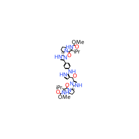 COC(=O)N[C@H](C(=O)N1CCC[C@H]1c1nc(C(=O)c2cc[nH]c2Nc2ccc(-c3c[nH]c([C@@H]4CCCN4C(=O)[C@@H](NC(=O)OC)C(C)C)n3)cc2)c[nH]1)C(C)C